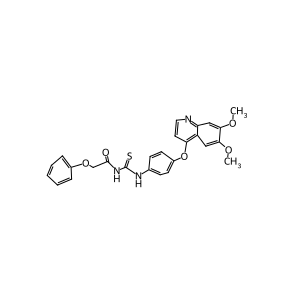 COc1cc2nccc(Oc3ccc(NC(=S)NC(=O)COc4ccccc4)cc3)c2cc1OC